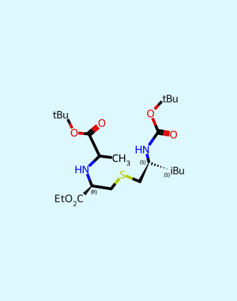 CCOC(=O)[C@H](CSC[C@@H](NC(=O)OC(C)(C)C)[C@@H](C)CC)NC(C)C(=O)OC(C)(C)C